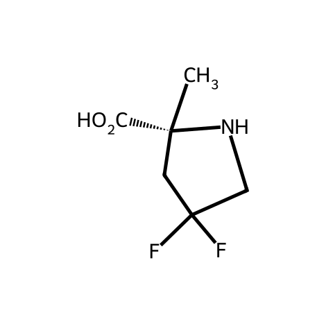 C[C@]1(C(=O)O)CC(F)(F)CN1